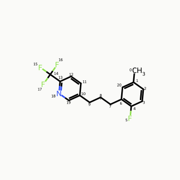 Cc1ccc(F)c(C[CH]Cc2ccc(C(F)(F)F)nc2)c1